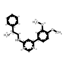 COc1ccc(-c2cc(NC[C@H](N)c3ccccc3)ncn2)cc1OC